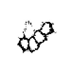 Ic1cccc2ccc3cc4ccccc4cc3c12.P